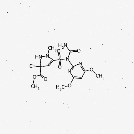 COC(=O)C1(Cl)C=C(S(=O)(=O)N(C(N)=O)c2nc(OC)cc(OC)n2)N(C)N1